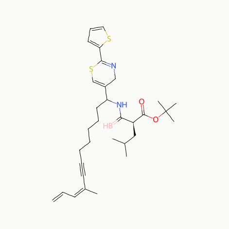 B=C(NC(CCCCCC#C/C(C)=C\C=C)C1=CSC(c2cccs2)=NC1)[C@H](CC(C)C)C(=O)OC(C)(C)C